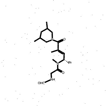 C/C(=C\[C@H](C(C)C)N(C)C(=O)CNC=O)C(=O)N1CC(C)CC(C)C1